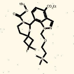 CCOC(=O)c1ccc(C2CC3(CCN2C(=O)OC(C)(C)C)CC(F)(F)C3)c2c1cnn2COCC[Si](C)(C)C